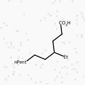 CCCCCCCC(CC)CCC(=O)O